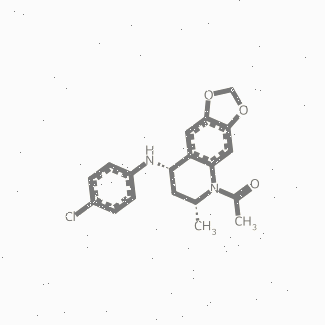 CC(=O)N1c2cc3c(cc2[C@@H](Nc2ccc(Cl)cc2)C[C@H]1C)OCO3